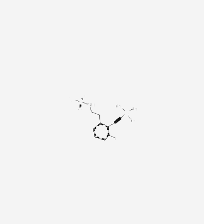 CC(C)[Si](C#Cc1c(F)cccc1CCNS(=O)(=O)C(F)(F)F)(C(C)C)C(C)C